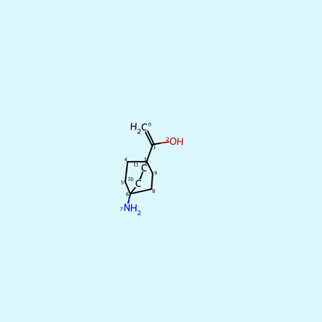 C=C(O)C12CCC(N)(CC1)CC2